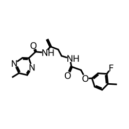 C=C(CCNC(=O)COc1ccc(C)c(F)c1)NC(=O)c1cnc(C)cn1